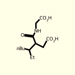 CCCCC(CC)C(CC(=O)O)C(=O)NCC(=O)O